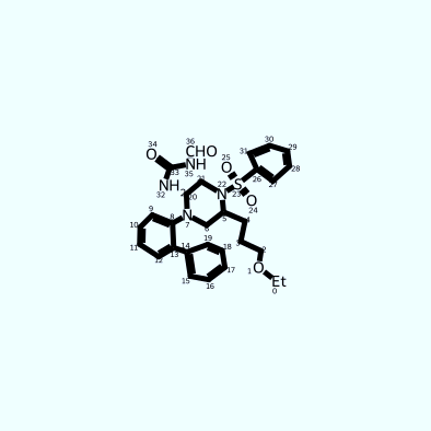 CCOCCCC1CN(c2ccccc2-c2ccccc2)CCN1S(=O)(=O)c1ccccc1.NC(=O)NC=O